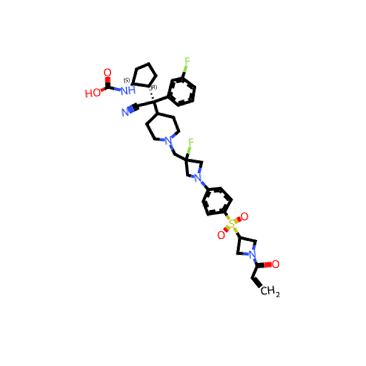 C=CC(=O)N1CC(S(=O)(=O)c2ccc(N3CC(F)(CN4CCC(C(C#N)(c5cccc(F)c5)[C@H]5CCC[C@@H]5NC(=O)O)CC4)C3)cc2)C1